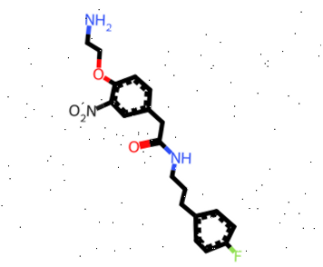 NCCOc1ccc(CC(=O)NCCCc2ccc(F)cc2)cc1[N+](=O)[O-]